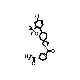 CS(=O)(=O)c1cc(Cl)ccc1C1CCC2(CC1)CN(C(=O)N1CC[C@H](C(N)=O)C1)C2